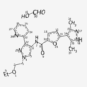 CCOCCn1cc(NC(=O)c2ccc(-c3c(C)n[nH]c3C)o2)c(-c2ccccn2)n1.O=CO